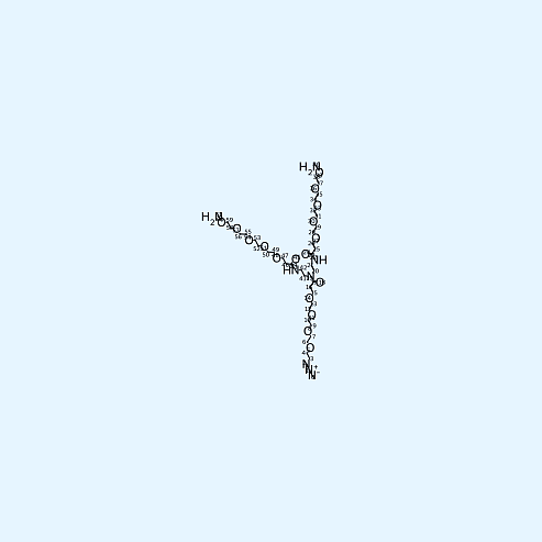 [N-]=[N+]=NCCOCCOCCOCCOCCC(=O)N(CCNC(=O)CCOCCOCCOCCOCCON)CCNC(=O)CCOCCOCCOCCOCCON